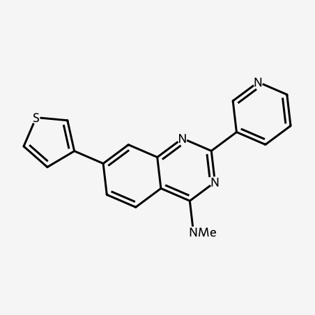 CNc1nc(-c2cccnc2)nc2cc(-c3ccsc3)ccc12